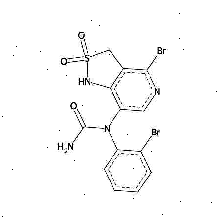 NC(=O)N(c1ccccc1Br)c1cnc(Br)c2c1NS(=O)(=O)C2